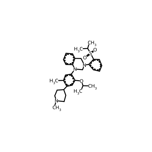 Cc1cc(N2CN(c3ccccc3S(=O)(=O)C(C)C)Cc3ccccc32)c(OC(C)C)cc1C1CCN(C)CC1